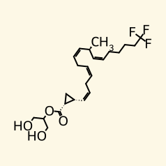 C[C@H](/C=C\C/C=C\C/C=C\[C@H]1C[C@H]1C(=O)OC(CO)CO)/C=C\CCCCC(F)(F)F